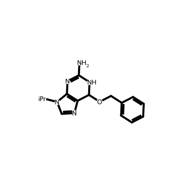 CC(C)n1cnc2c1N=C(N)NC2OCc1ccccc1